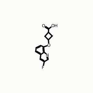 O=C(O)C1CC(Oc2cccc3cc(F)cnc23)C1